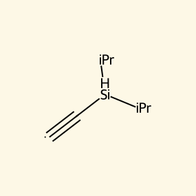 [C]#C[SiH](C(C)C)C(C)C